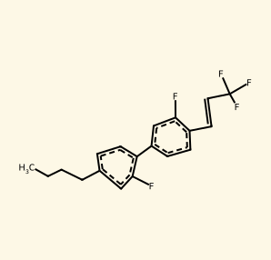 CCCCc1ccc(-c2ccc(/C=C/C(F)(F)F)c(F)c2)c(F)c1